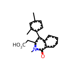 Cc1ccc(-c2c(CC(=O)O)n(C)c(=O)c3ccccc23)c(C)c1